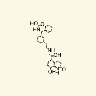 O=C(O)NC(c1ccccc1)c1cccc(CCNC[C@H](O)c2ccc(O)c3[nH]c(=O)ccc23)c1